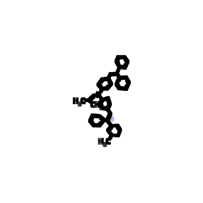 CC(C)=CN(c1ccc(C=C(c2ccccc2)c2ccccc2)cc1)c1ccc(/C=C(/C2=CC(C)CC=C2)c2ccccc2)cc1